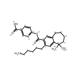 CCCCCCc1cc2c(cc1C(=O)Oc1ccc(C(=O)O)cn1)CCCCC2(C)C